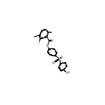 O=C(Oc1ccc(S(=O)(=O)c2ccc(O)cc2)cc1)c1c(I)ccc(I)c1I